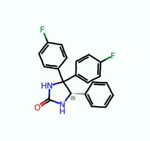 O=C1N[C@@H](c2ccccc2)C(c2ccc(F)cc2)(c2ccc(F)cc2)N1